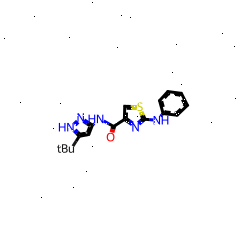 CC(C)(C)c1cc(NC(=O)c2csc(Nc3ccccc3)n2)n[nH]1